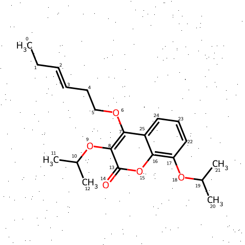 CCC=CCCOc1c(OC(C)C)c(=O)oc2c(OC(C)C)cccc12